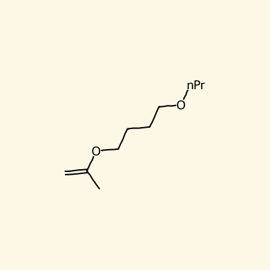 C=C(C)OCCCCOCCC